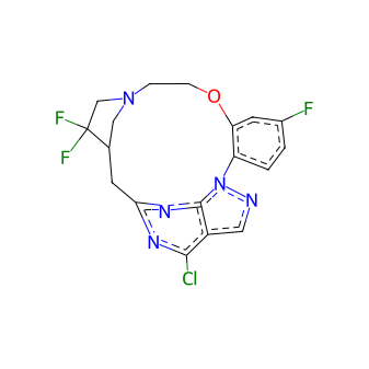 Fc1ccc2c(c1)OCCN1CC(Cc3nc(Cl)c4cnn-2c4n3)C(F)(F)C1